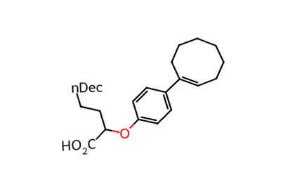 CCCCCCCCCCCCC(Oc1ccc(/C2=C/CCCCCC2)cc1)C(=O)O